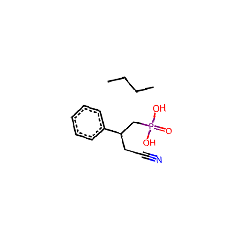 CCCC.N#CCC(CP(=O)(O)O)c1ccccc1